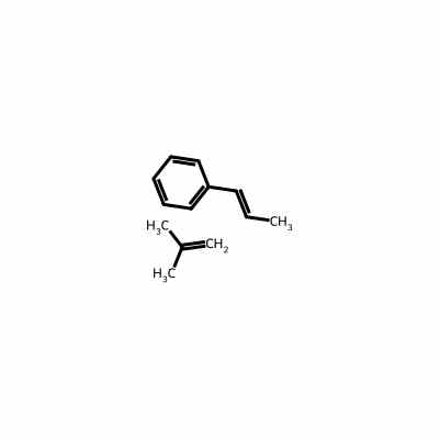 C=C(C)C.CC=Cc1ccccc1